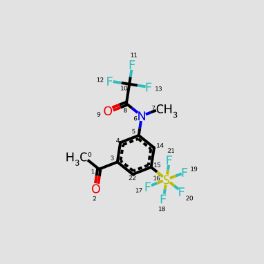 CC(=O)c1cc(N(C)C(=O)C(F)(F)F)cc(S(F)(F)(F)(F)F)c1